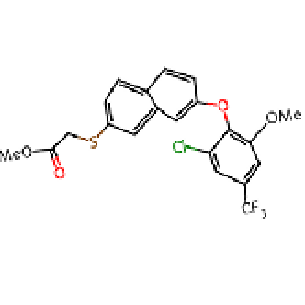 COC(=O)CSc1ccc2ccc(Oc3c(Cl)cc(C(F)(F)F)cc3OC)cc2c1